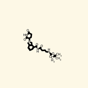 CC(C)(C)OC(=O)NCCCC(=O)NC(=O)c1cccc2c1CN(C1CCC(=O)NC1=O)C2